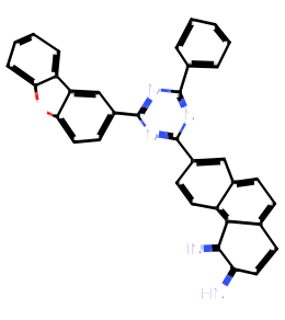 N=C1C=Cc2ccc3cc(-c4nc(-c5ccccc5)nc(-c5ccc6oc7ccccc7c6c5)n4)ccc3c2C1=N